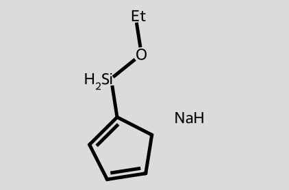 CCO[SiH2]C1=CC=CC1.[NaH]